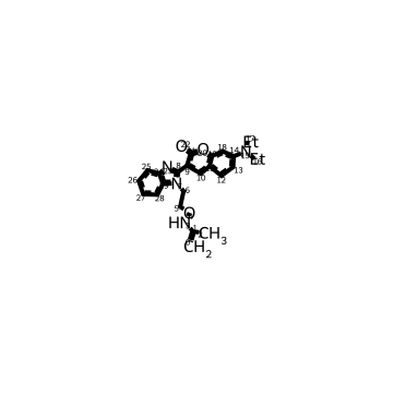 C=C(C)NOCCn1c(-c2cc3ccc(N(CC)CC)cc3oc2=O)nc2ccccc21